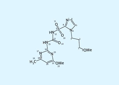 COCCCn1ccnc1S(=O)(=O)NC(=O)Nc1nc(C)cc(OC)n1